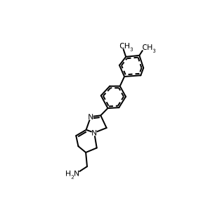 Cc1ccc(-c2ccc(C3=NC4=CCC(CN)CN4C3)cc2)cc1C